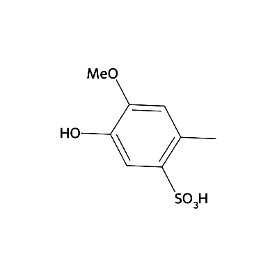 COc1cc(C)c(S(=O)(=O)O)cc1O